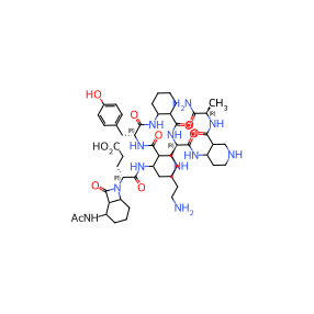 CC(=O)NC1CCCC2C1C(=O)N2[C@H](CCC(=O)O)C(=O)NC1CCNCC1C(=O)N[C@H](Cc1ccc(O)cc1)C(=O)NC1CCCCC1C(=O)N[C@H](CCCCCN)C(=O)NC1CCNCC1C(=O)N[C@H](C)C(N)=O